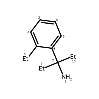 CCc1ccccc1C(N)(CC)CC